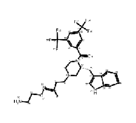 C/C(CCN1CCN(C(=O)c2cc(C(F)(F)F)cc(C(F)(F)F)c2)[C@H](Cc2c[nH]c3ccccc23)C1)=N\OCCN